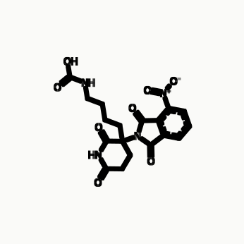 O=C(O)NCCCCC1(N2C(=O)c3cccc([N+](=O)[O-])c3C2=O)CCC(=O)NC1=O